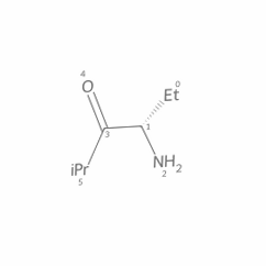 CC[C@H](N)C(=O)C(C)C